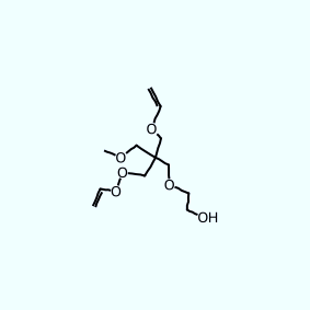 C=COCC(COC)(COCCO)COOC=C